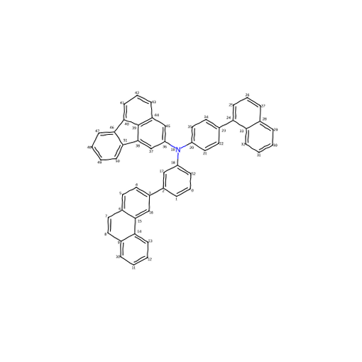 c1cc(-c2ccc3ccc4ccccc4c3c2)cc(N(c2ccc(-c3cccc4ccccc34)cc2)c2cc3c4c(cccc4c2)-c2ccccc2-3)c1